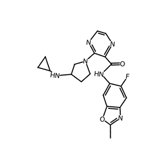 Cc1nc2cc(F)c(NC(=O)c3nccnc3N3CCC(NC4CC4)C3)cc2o1